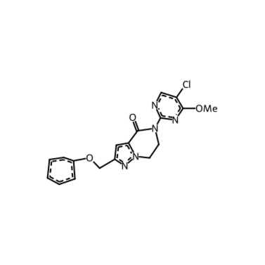 COc1nc(N2CCn3nc(COc4ccccc4)cc3C2=O)ncc1Cl